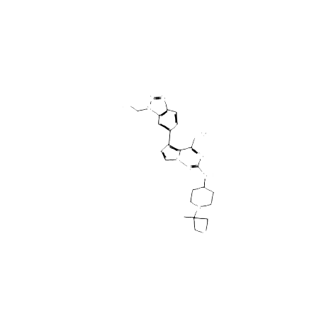 COc1nc(NC2CCN(C3(C)COC3)CC2)nn2ccc(-c3ccc4nnn(CC(F)(F)F)c4c3)c12